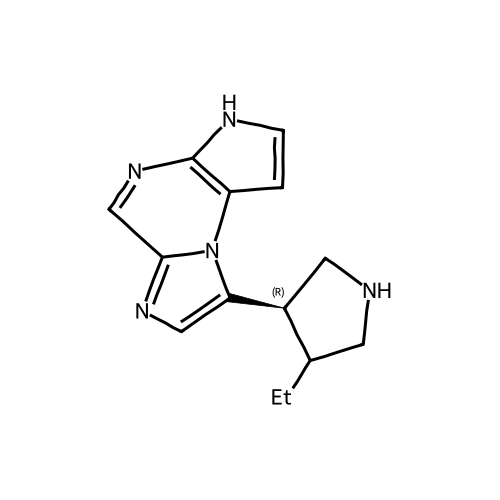 CCC1CNC[C@@H]1c1cnc2cnc3[nH]ccc3n12